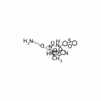 C[C@@H](NC(=O)[C@@H]1CC(COCCCCN)CN1C(=O)CNC(=O)c1ccc2c(c1)Oc1ccccc1S2)c1cc2cnccc2[nH]1